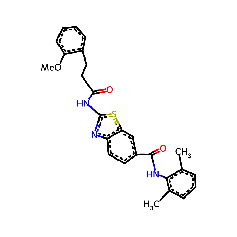 COc1ccccc1CCC(=O)Nc1nc2ccc(C(=O)Nc3c(C)cccc3C)cc2s1